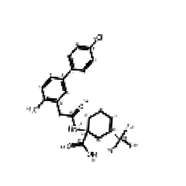 Cc1ccc(-c2ccc(Cl)cc2)cc1CC(=O)N[C@@]1(C(=O)O)CCC[C@H](C(F)(F)F)C1